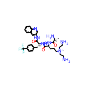 C[C@@H](N)C(=O)N[C@@H](CCC[N+](C)(CCN)CCN)C(=O)N[C@H](Cc1ccc(C(F)(F)F)cc1)C(=O)Nc1cnc2ccccc2c1